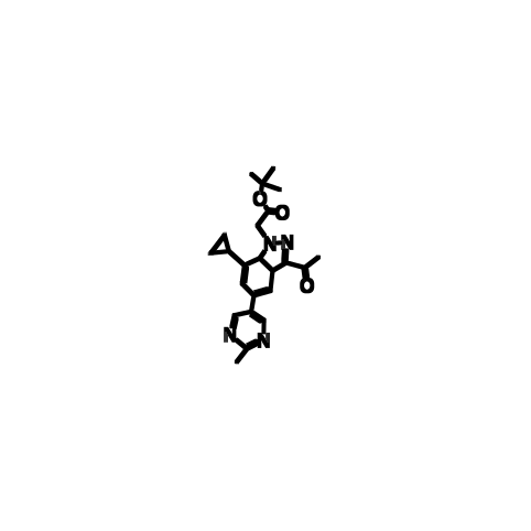 CC(=O)C1=NN(CC(=O)OC(C)(C)C)C2C(C3CC3)=CC(c3cnc(C)nc3)=CC12